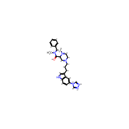 CN(Cc1ccccc1)C(=O)C1CN(CCCc2c[nH]c3ccc(-n4cnnc4)cc23)CCN1C